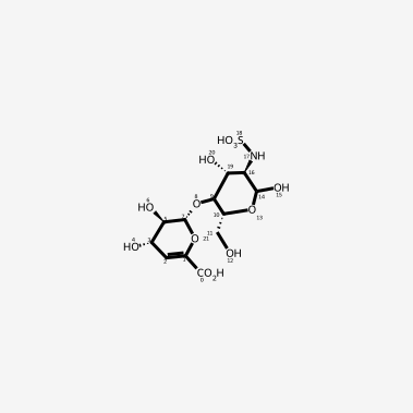 O=C(O)C1=C[C@H](O)[C@@H](O)[C@H](OC2[C@@H](CO)OC(O)[C@H](NS(=O)(=O)O)[C@H]2O)O1